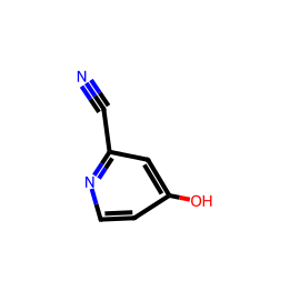 N#Cc1cc(O)ccn1